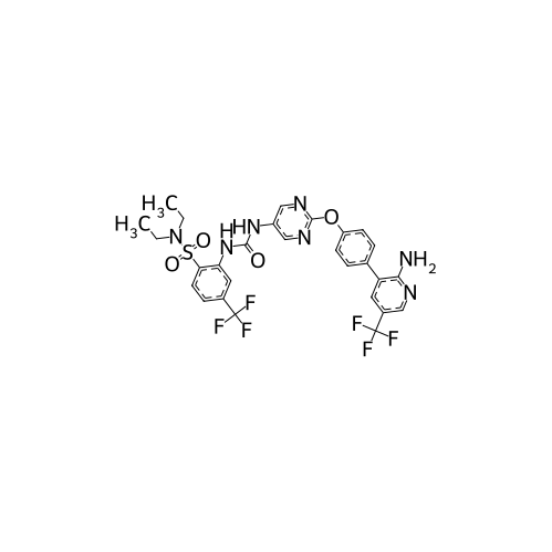 CCN(CC)S(=O)(=O)c1ccc(C(F)(F)F)cc1NC(=O)Nc1cnc(Oc2ccc(-c3cc(C(F)(F)F)cnc3N)cc2)nc1